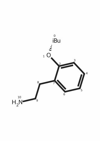 CC[C@@H](C)Oc1ccccc1CCN